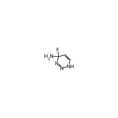 NC1(F)C=[C]NN=N1